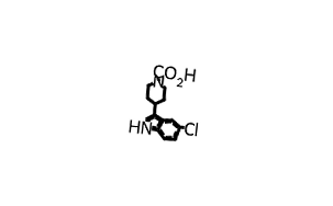 O=C(O)N1CCC(c2c[nH]c3ccc(Cl)cc23)CC1